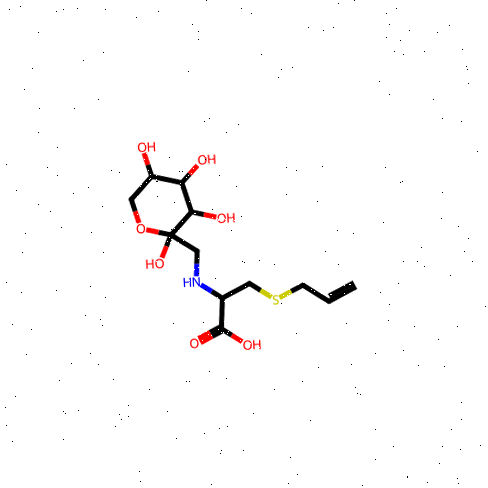 C=CCSCC(NCC1(O)OCC(O)C(O)C1O)C(=O)O